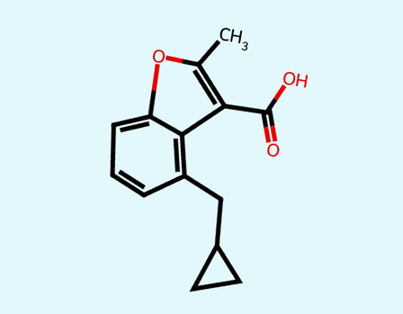 Cc1oc2cccc(CC3CC3)c2c1C(=O)O